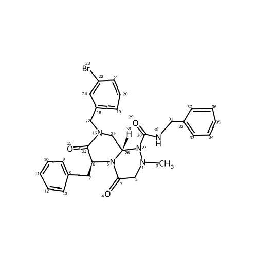 CN1CC(=O)N2[C@@H](Cc3ccccc3)C(=O)N(Cc3cccc(Br)c3)C[C@@H]2N1C(=O)NCc1ccccc1